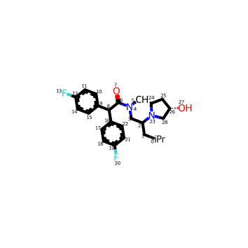 CC(C)CC(CN(C)C(=O)C(c1ccc(F)cc1)c1ccc(F)cc1)N1CC[C@H](O)C1